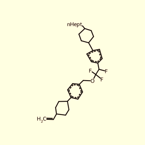 C=CC1CCC(c2ccc(COC(F)(F)C(F)c3ccc(C4CCC(CCCCCCC)CC4)cc3)cc2)CC1